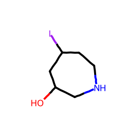 OC1CNCCC(I)C1